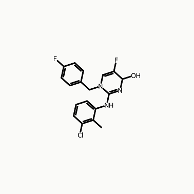 Cc1c(Cl)cccc1NC1=NC(O)C(F)=CN1Cc1ccc(F)cc1